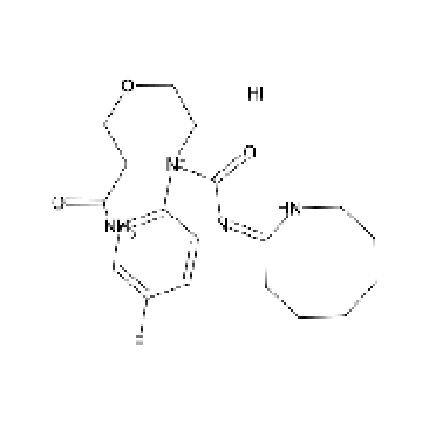 I.NC(=O)C1COCC[N+]1(C(=O)N=C1CCCCCCN1)c1ccc(F)cc1